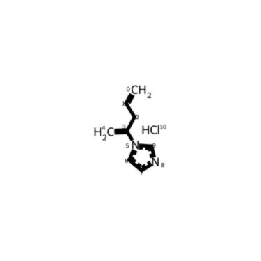 C=CCC(=C)n1ccnc1.Cl